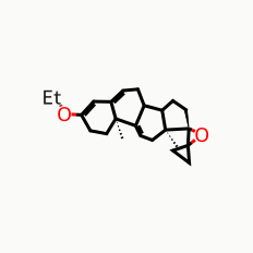 CCOC1=CC2=CCC3C(=CC[C@@]4(C)C3CC[C@]43OC34CC4)[C@@]2(C)CC1